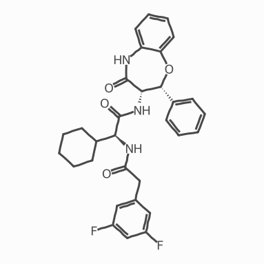 O=C(Cc1cc(F)cc(F)c1)N[C@H](C(=O)N[C@@H]1C(=O)Nc2ccccc2O[C@@H]1c1ccccc1)C1CCCCC1